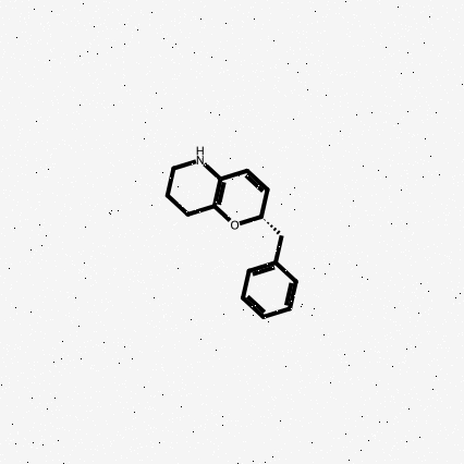 C1=C[C@H](Cc2ccccc2)OC2=C1NCCC2